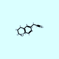 N#CCc1ccc2c(c1)CCCO2